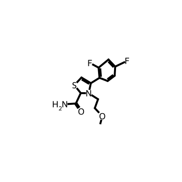 COCCN1C(c2ccc(F)cc2F)=CSC1C(N)=O